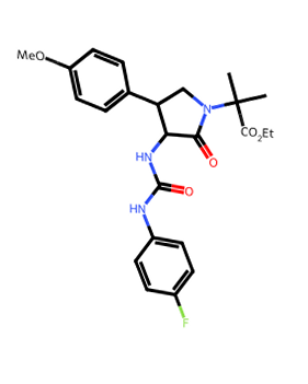 CCOC(=O)C(C)(C)N1CC(c2ccc(OC)cc2)C(NC(=O)Nc2ccc(F)cc2)C1=O